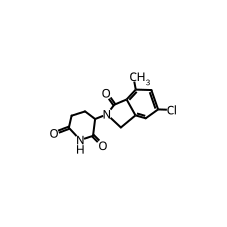 Cc1cc(Cl)cc2c1C(=O)N(C1CCC(=O)NC1=O)C2